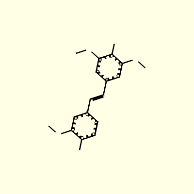 COc1cc(C=Cc2cc(OC)c(O)c(OC)c2)ccc1O